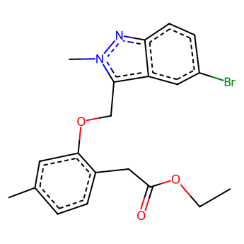 CCOC(=O)Cc1ccc(C)cc1OCc1c2cc(Br)ccc2nn1C